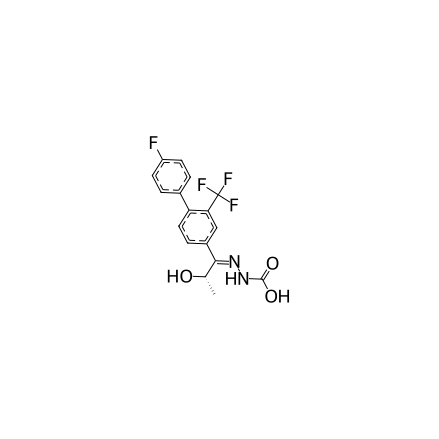 C[C@H](O)/C(=N\NC(=O)O)c1ccc(-c2ccc(F)cc2)c(C(F)(F)F)c1